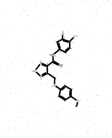 COc1ccc(OCc2nonc2C(=N)Nc2ccc(F)c(Cl)c2)cc1